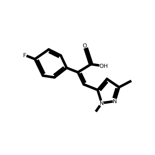 Cc1cc(C=C(C(=O)O)c2ccc(F)cc2)n(C)n1